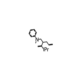 C=CCC(CN(C)c1ccccc1)C(=C)C(C)C